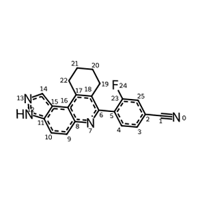 N#Cc1ccc(-c2nc3ccc4[nH]ncc4c3c3c2CCCC3)c(F)c1